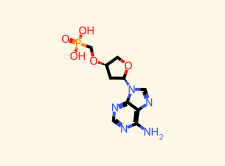 Nc1ncnc2c1ncn2[C@H]1C[C@@H](OCP(=O)(O)O)CO1